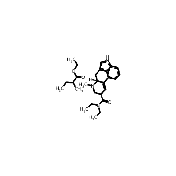 CCN(CC)C(=O)[C@@H]1C=C2c3cccc4[nH]cc(c34)C[C@H]2N(C)C1.CCOC(=O)C(C)CC